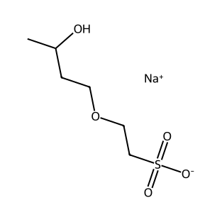 CC(O)CCOCCS(=O)(=O)[O-].[Na+]